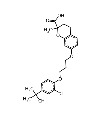 CC1(C(=O)O)CCc2ccc(OCCCOc3ccc(C(C)(C)C)cc3Cl)cc2O1